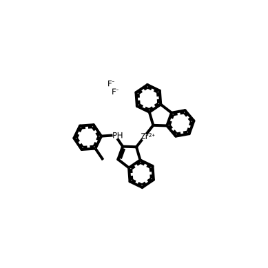 Cc1ccccc1PC1=Cc2ccccc2[CH]1[Zr+2][CH]1c2ccccc2-c2ccccc21.[F-].[F-]